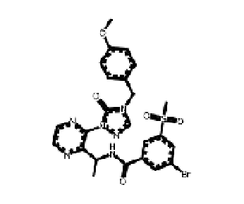 COc1ccc(Cn2cnn(-c3nccnc3C(C)NC(=O)c3cc(Br)cc(S(C)(=O)=O)c3)c2=O)cc1